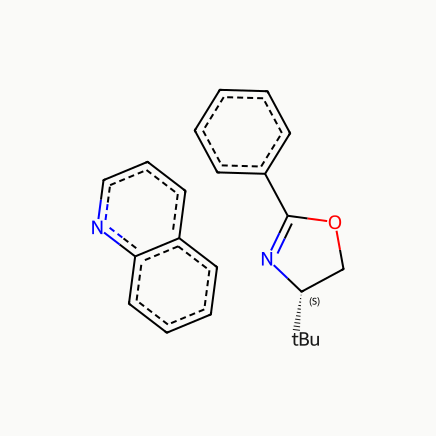 CC(C)(C)[C@H]1COC(c2ccccc2)=N1.c1ccc2ncccc2c1